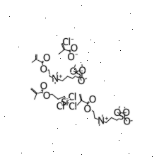 C=C(C)C(=O)OCCC[Si](Cl)(Cl)Cl.C=C(C)C(=O)OCC[N+](C)(C)CCC[Si](OC)(OC)OC.C=C(C)C(=O)OCC[N+](C)(C)CCC[Si](OC)(OC)OC.C=C(C)C(=O)[O-].[Cl-]